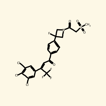 CS(=O)(=O)CC(=O)N1CC(F)(c2ccc(C(=O)C=C(c3cc(Cl)c(Cl)c(Cl)c3)C(F)(F)F)cc2)C1